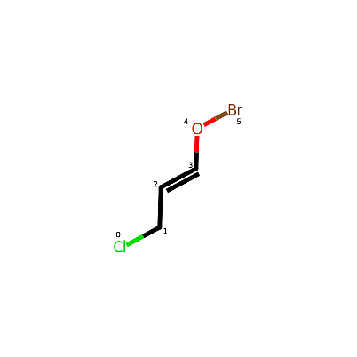 ClCC=COBr